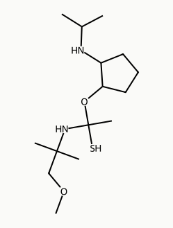 COCC(C)(C)NC(C)(S)OC1CCCC1NC(C)C